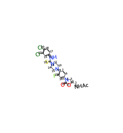 CC(=O)NC[C@H]1CN(c2ccc(N3CCN(C(=S)Nc4ccc(Cl)c(Cl)c4)CC3)c(F)c2)C(=O)O1